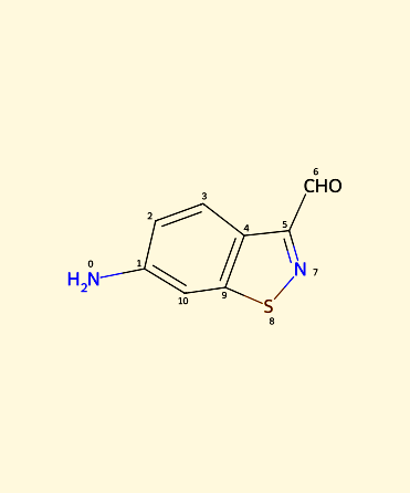 Nc1ccc2c(C=O)nsc2c1